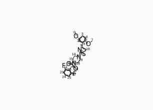 COc1ccc(OC)c(-c2csc(N3CCN(S(=O)(=O)c4c(F)cccc4F)CC3)n2)c1